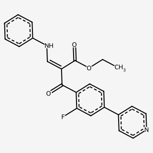 CCOC(=O)/C(=C\Nc1ccccc1)C(=O)c1ccc(-c2ccncc2)cc1F